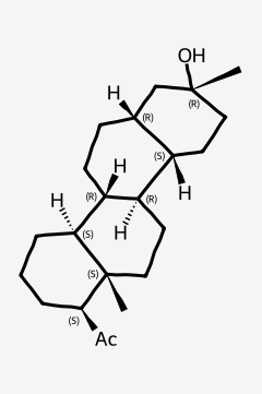 CC(=O)[C@H]1CCC[C@H]2[C@@H]3CC[C@@H]4C[C@](C)(O)CC[C@@H]4[C@H]3CC[C@]12C